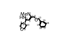 CN/C(=C\C(=N)N1CCOCC1)COCc1ccccc1